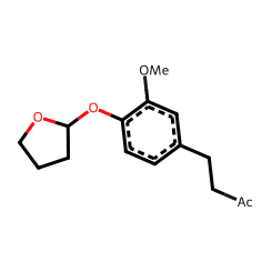 COc1cc(CCC(C)=O)ccc1OC1CCCO1